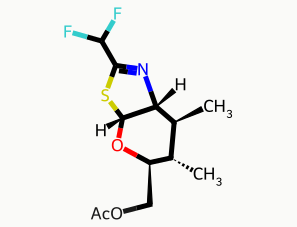 CC(=O)OC[C@H]1O[C@@H]2SC(C(F)F)=N[C@@H]2[C@@H](C)[C@@H]1C